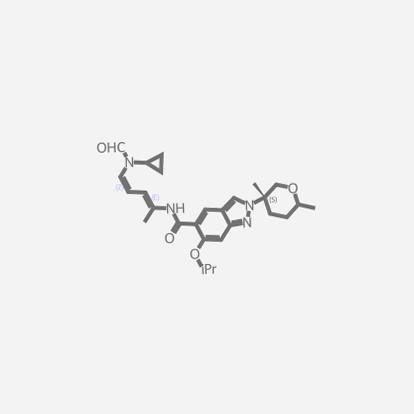 C/C(=C\C=C/N(C=O)C1CC1)NC(=O)c1cc2cn([C@@]3(C)CCC(C)OC3)nc2cc1OC(C)C